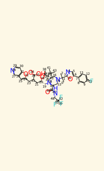 CC(C)(c1ncc(-c2ccc(F)cc2)o1)N1CCN(C[C@H](C[C@@H](Cc2cc3cnccc3o2)C(=O)O)O[Si](C)(C)C(C)(C)C)[C@H](C(=O)NCC(F)(F)F)C1